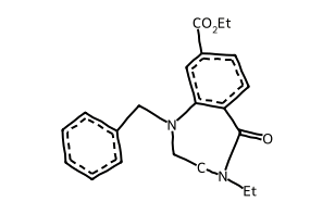 CCOC(=O)c1ccc2c(c1)N(Cc1ccccc1)CCN(CC)C2=O